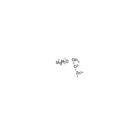 O.O.[Mg+2].[O-2].[Zn+2]